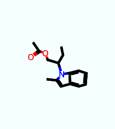 CCC(COC(C)=O)n1c(C)cc2ccccc21